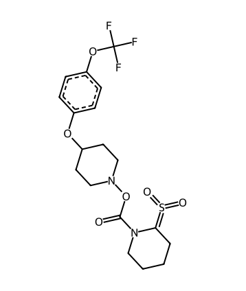 O=C(ON1CCC(Oc2ccc(OC(F)(F)F)cc2)CC1)N1CCCCC1=S(=O)=O